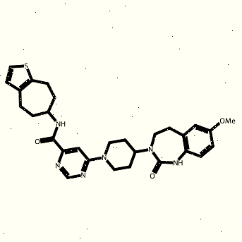 COc1ccc2c(c1)CCN(C1CCN(c3cc(C(=O)NC4CCc5ccsc5CC4)ncn3)CC1)C(=O)N2